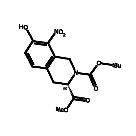 COC(=O)[C@@H]1Cc2ccc(O)c([N+](=O)[O-])c2CN1C(=O)OC(C)(C)C